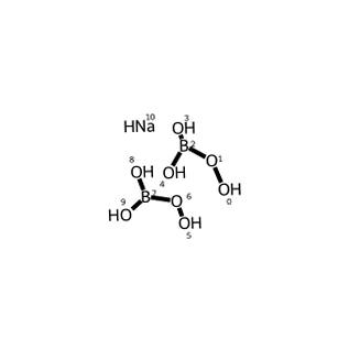 OOB(O)O.OOB(O)O.[NaH]